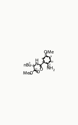 CCCC[C@H](NC(=O)c1cc(OC)ccc1N)C(=O)OC